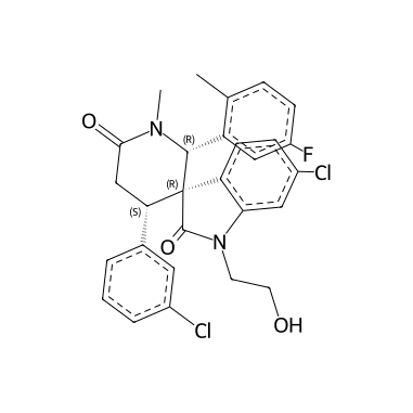 Cc1ccc(F)cc1[C@H]1N(C)C(=O)C[C@@H](c2cccc(Cl)c2)[C@]12C(=O)N(CCO)c1cc(Cl)ccc12